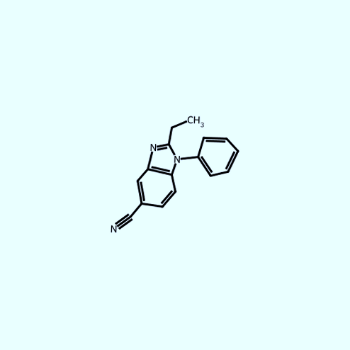 CCc1nc2cc(C#N)ccc2n1-c1ccccc1